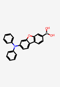 OB(O)c1ccc2c(c1)oc1cc(N(c3ccccc3)c3ccccc3)ccc12